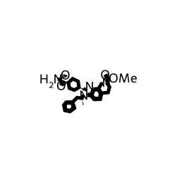 COC(=O)N1CCc2ccc3c(nc([C@H]4CC[C@H](S(N)(=O)=O)CC4)n3[C@H](C)Cc3ccccc3)c2C1